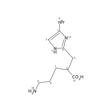 CCCc1c[nH]c(CC(CCCN)C(=O)O)n1